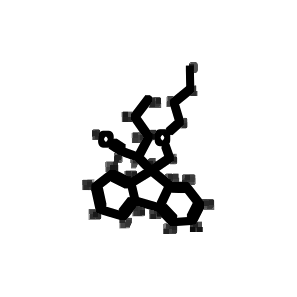 CCCCOCC1(C(C=O)CCC)c2ccccc2-c2ccccc21